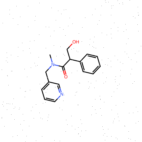 CN(Cc1cccnc1)C(=O)C(CO)c1ccccc1